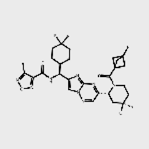 Cc1nonc1C(=O)N[C@H](c1cn2ncc([C@H]3C[C@](C)(O)CCN3C(=O)C34CC(F)(C3)C4)nc2n1)C1CCC(F)(F)CC1